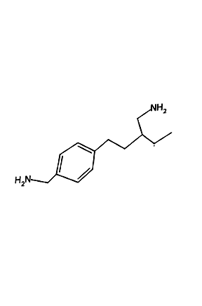 C[CH]C(CN)CCc1ccc(CN)cc1